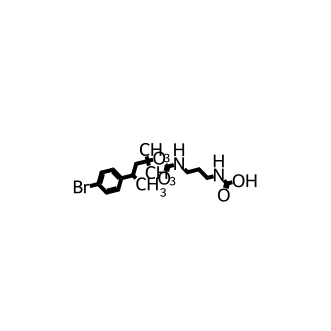 CC(CC(C)(C)OC(=O)NCCCNC(=O)O)c1ccc(Br)cc1